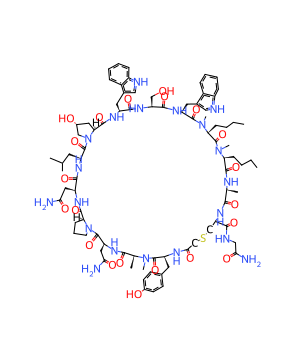 CCCC[C@H]1C(=O)N(C)[C@@H](CCCC)C(=O)N[C@@H](C)C(=O)NC(C(=O)NCC(N)=O)CSCC(=O)N[C@@H](Cc2ccc(O)cc2)C(=O)N(C)[C@@H](C)C(=O)N[C@@H](CC(N)=O)C(=O)N2CCC[C@H]2C(=O)N[C@@H](CC(N)=O)C(=O)N[C@@H](CC(C)C)C(=O)N2C[C@H](O)C[C@H]2C(=O)N[C@@H](Cc2c[nH]c3ccccc23)C(=O)N[C@@H](CO)C(=O)N[C@@H](Cc2c[nH]c3ccccc23)C(=O)N1C